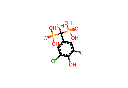 O=P(O)(O)C(O)(c1cc(Cl)c(O)c(Cl)c1)P(=O)(O)O